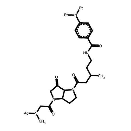 CCN(CC)c1ccc(C(=O)NCCC(C)CC(=O)N2CCC3C2C(=O)CN3C(=O)CN(C)C(C)=O)cc1